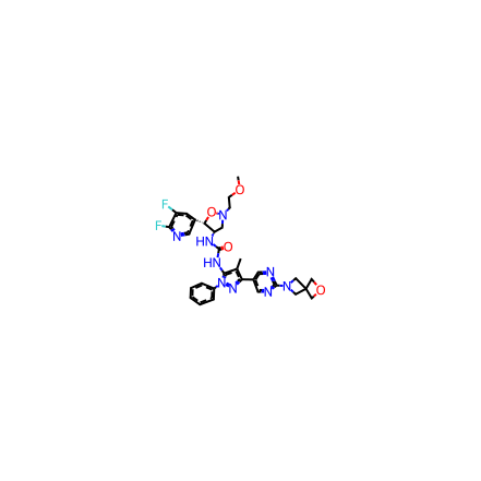 COCCN1C[C@@H](NC(=O)Nc2c(C)c(-c3cnc(N4CC5(COC5)C4)nc3)nn2-c2ccccc2)[C@H](c2cnc(F)c(F)c2)O1